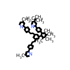 Cc1ccnc(-c2ccc(CCc3cc(CCc4ccc(-c5cc(C)ccn5)cc4)cc(-c4c(C)c(C)c(C)c(C)c4-c4ccc(-c5cc(C(C)(C)C)ccn5)cc4)c3)cc2)c1